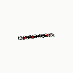 CC(C)(C)OCCOCCOCCOCCOCCOCCOCCOCCOCCOC(C)(C)C